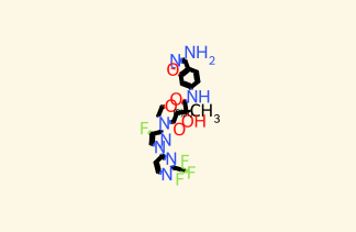 C[C@](O)(C(=O)Nc1ccc2c(N)noc2c1)[C@H]1OCCN(c2nn(-c3ccnc(C(F)(F)F)n3)cc2F)C1=O